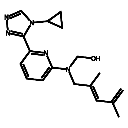 C=C(C)/C=C(\C)CN(CO)c1cccc(-c2nncn2C2CC2)n1